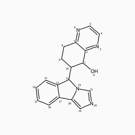 OC1c2nccnc2CCC1C1c2ccccc2-c2cncn21